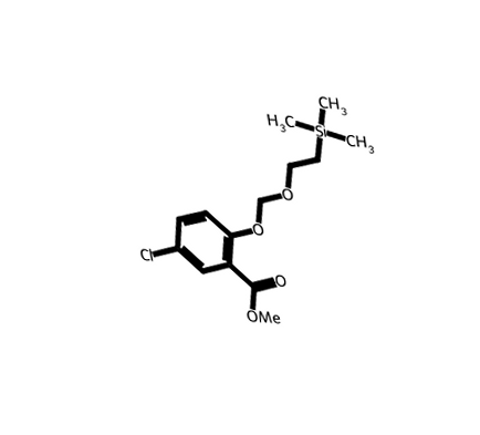 COC(=O)c1cc(Cl)ccc1OCOCC[Si](C)(C)C